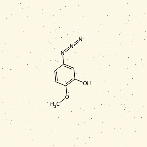 COc1ccc(N=[N+]=[N-])cc1O